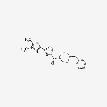 Cn1nc(-c2ccc(C(=O)N3CCC(Cc4ccccc4)CC3)s2)cc1C(F)(F)F